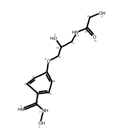 N=C(NO)c1ccc(OCC(O)CNC(=O)CO)cc1